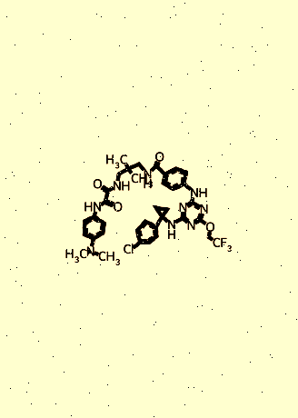 CN(C)c1ccc(NC(=O)C(=O)NCC(C)(C)CNC(=O)c2ccc(Nc3nc(NC4(c5ccc(Cl)cc5)CC4)nc(OCC(F)(F)F)n3)cc2)cc1